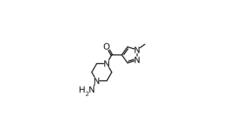 Cn1cc(C(=O)N2CCN(N)CC2)cn1